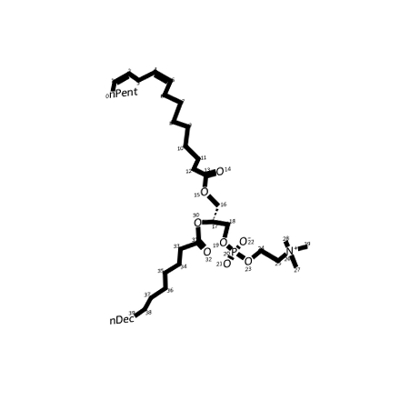 CCCCC/C=C\C/C=C\CCCCCCCC(=O)OC[C@H](COP(=O)([O-])OCC[N+](C)(C)C)OC(=O)CCCCCCCCCCCCCCCC